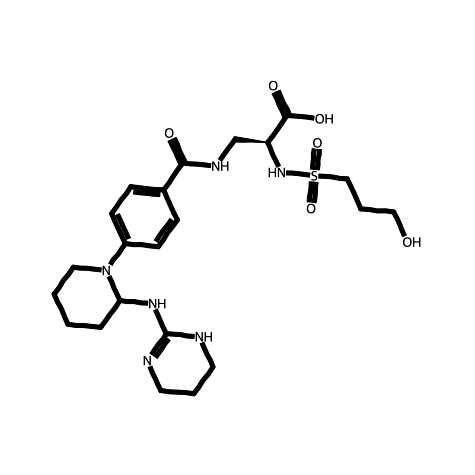 O=C(NC[C@H](NS(=O)(=O)CCCO)C(=O)O)c1ccc(N2CCCCC2NC2=NCCCN2)cc1